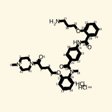 CN1CCN(C(=O)CCCOc2ccccc2N(C)C(=O)c2ccc(NC(=O)c3ccccc3OCCCN)cc2)CC1.Cl.Cl